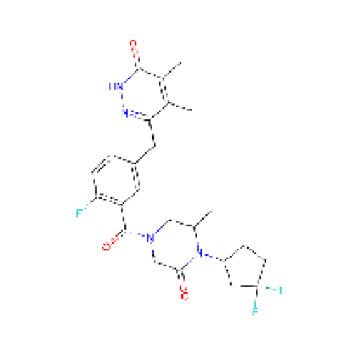 Cc1c(Cc2ccc(F)c(C(=O)N3CC(=O)N(C4CCC(F)(F)C4)C(C)C3)c2)n[nH]c(=O)c1C